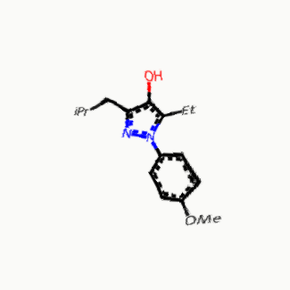 CCc1c(O)c(CC(C)C)nn1-c1ccc(OC)cc1